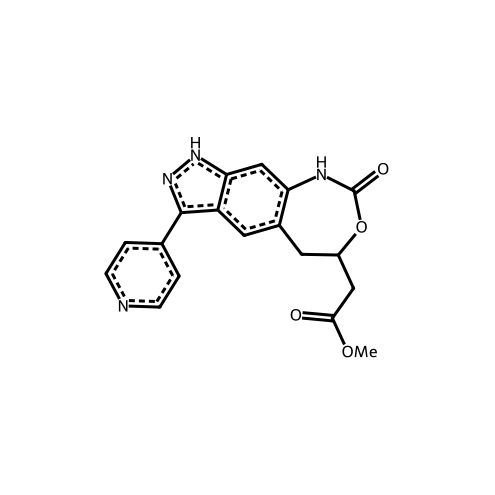 COC(=O)CC1Cc2cc3c(-c4ccncc4)n[nH]c3cc2NC(=O)O1